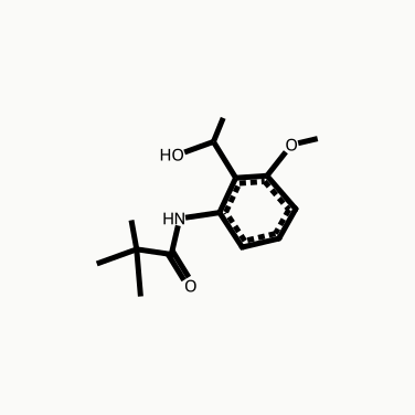 COc1cccc(NC(=O)C(C)(C)C)c1C(C)O